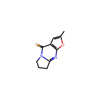 Cc1cc2c(=S)n3c(nc2o1)CCC3